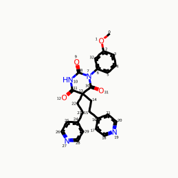 COc1cccc(N2C(=O)NC(=O)C(CCc3ccncc3)(CCc3ccncc3)C2=O)c1